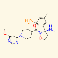 CN[C@@]1(c2cc(C)cc(P)c2)CCON1C(=O)C1CCN(c2cc(OC)ncn2)CC1